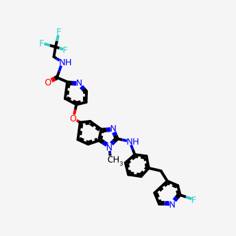 Cn1c(Nc2cccc(Cc3ccnc(F)c3)c2)nc2cc(Oc3ccnc(C(=O)NCC(F)(F)F)c3)ccc21